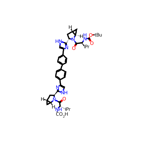 CC(C)[C@H](NC(=O)O)C(=O)N1[C@@H]2C[C@@H]2C[C@H]1c1nc(-c2ccc(-c3ccc(-c4c[nH]c([C@@H]5C[C@@H]6C[C@H]6N5C(=O)[C@@H](NC(=O)OC(C)(C)C)C(C)C)n4)cc3)cc2)c[nH]1